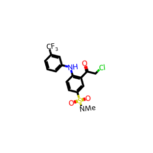 CNS(=O)(=O)c1ccc(Nc2cccc(C(F)(F)F)c2)c(C(=O)CCl)c1